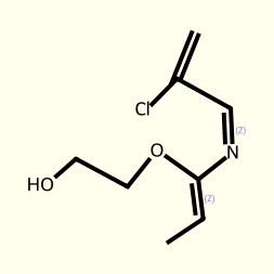 C=C(Cl)/C=N\C(=C\C)OCCO